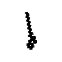 CCCCCCCCCCCCCC1OC(=O)C1=Cc1ccccc1